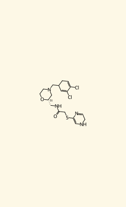 O=C(CSC1=CNCC=N1)NC[C@H]1CN(CC2C=C(Cl)C(Cl)=CC2)CCO1